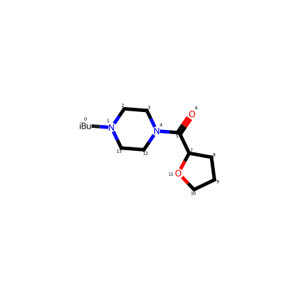 CCC(C)N1CCN(C(=O)C2CCCO2)CC1